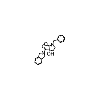 O=C1N(Cc2ccccc2)CCC1(O)C(=O)N1Cc2ccccc2C1